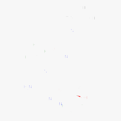 CC(C)(C)c1cccc(CN2CCCCC[C@](O)(C(F)(F)F)c3nnc(o3)-c3nc(c(C(F)(F)F)cc3N)C2=O)n1